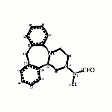 CCN(C=O)N1CCN2c3ccccc3Cc3ccccc3C2C1